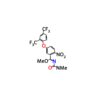 CNC(=O)N=C(OC)c1cc(Oc2ccc(C(F)(F)F)cc2C(F)(F)F)ccc1[N+](=O)[O-]